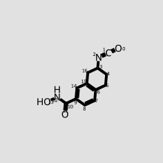 O=C=NC1CCc2ccc(C(=O)NO)cc2C1